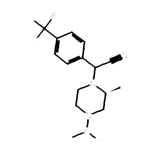 CB(O)N1CCN(C(C#N)c2ccc(C(F)(F)F)cc2)[C@@H](C)C1